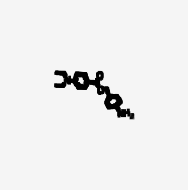 CCN(CC)c1ccc(C(=O)OCc2ccc(N)cc2)cc1